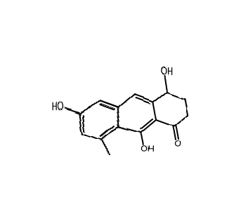 Cc1cc(O)cc2cc3c(c(O)c12)C(=O)CCC3O